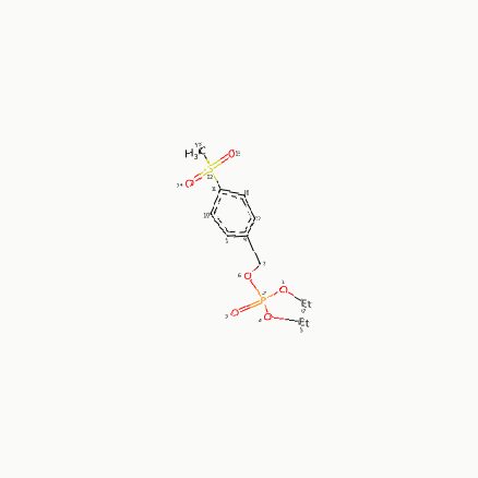 CCOP(=O)(OCC)OCc1ccc(S(C)(=O)=O)cc1